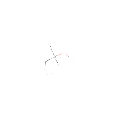 COCC(C)(C)[O][Zr+3]